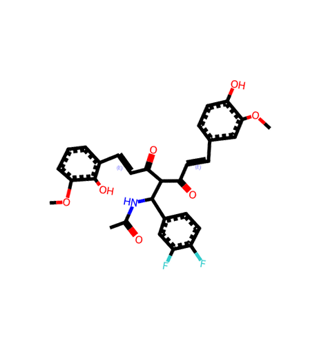 COc1cc(/C=C/C(=O)C(C(=O)/C=C/c2cccc(OC)c2O)C(NC(C)=O)c2ccc(F)c(F)c2)ccc1O